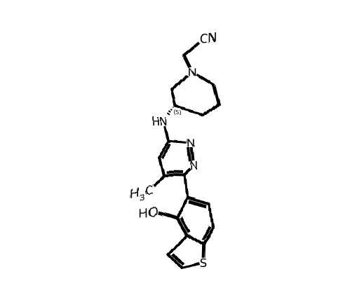 Cc1cc(N[C@H]2CCCN(CC#N)C2)nnc1-c1ccc2sccc2c1O